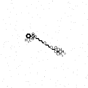 Cc1ccccc1S(=O)(=O)OCCCCCOCCCOCC(=O)OC(C)(C)C